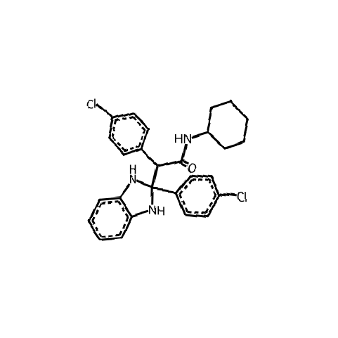 O=C(NC1CCCCC1)C(c1ccc(Cl)cc1)C1(c2ccc(Cl)cc2)Nc2ccccc2N1